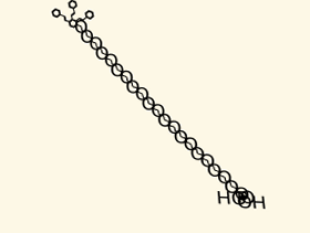 O=P(O)(O)OCCOCCOCCOCCOCCOCCOCCOCCOCCOCCOCCOCCOCCOCCOCCOCCOCCOCCOCCOCCOc1ccc(C=Cc2ccccc2)c(C=Cc2ccccc2)c1C=Cc1ccccc1